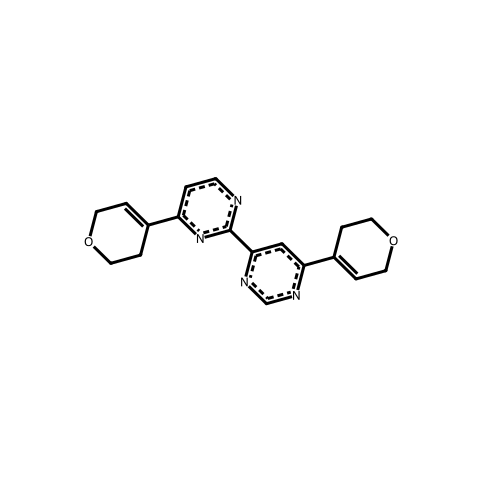 C1=C(c2cc(-c3nccc(C4=CCOCC4)n3)ncn2)CCOC1